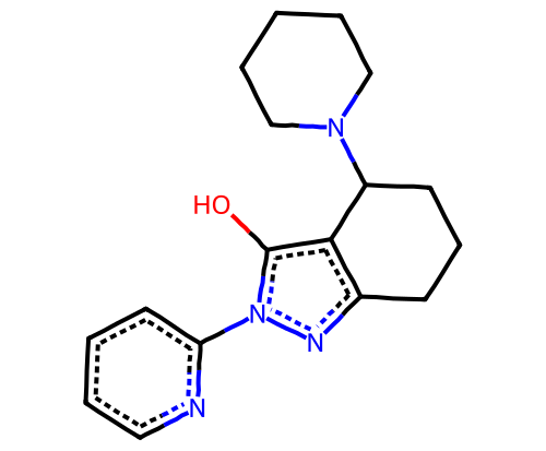 Oc1c2c(nn1-c1ccccn1)CCCC2N1CCCCC1